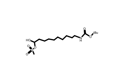 CC(C)(C)OC(=O)NCCCCCCCCCC(O)OS(C)(=O)=O